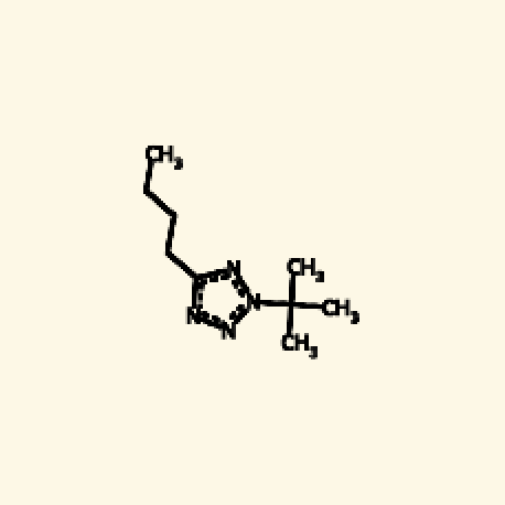 CCCCc1nnn(C(C)(C)C)n1